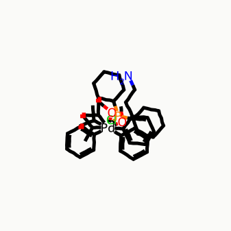 C[O][Pd]([Cl])([O]C)([c]1ccccc1)([c]1ccccc1)([c]1ccccc1CCN)([CH](C)C)([CH](C)C)([CH](C)C)[P](C1CCCCC1)C1CCCCC1